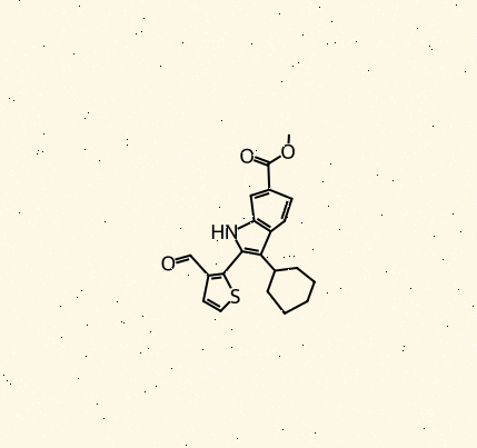 COC(=O)c1ccc2c(C3CCCCC3)c(-c3sccc3C=O)[nH]c2c1